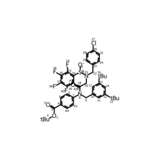 CC(C)(C)OC(=O)c1ccc(N(Cc2cc(C(C)(C)C)cc(C(C)(C)C)c2)C(=O)CN(Cc2ccc(Cl)cc2)[S+]([O-])c2c(F)c(F)c(F)c(F)c2F)cc1